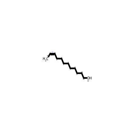 C/C=C\CCCCCCCCCO